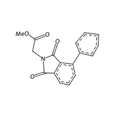 COC(=O)CN1C(=O)c2cccc(-c3ccccc3)c2C1=O